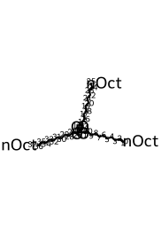 CCCCCCCCC=CCCCCCCCCOP(=O)(OCCCCCCCCC=CCCCCCCCC)OCCCCCCCCC=CCCCCCCCC